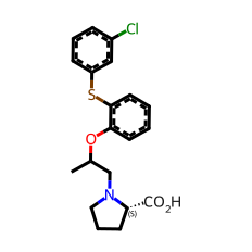 CC(CN1CCC[C@H]1C(=O)O)Oc1ccccc1Sc1cccc(Cl)c1